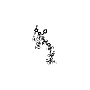 CC(C)(C)[C@@H](NCC[C@H](N)C(=O)N[C@H]1CC[C@@H](C(=O)NCCN2C(=O)CC(SC[C@H](N)C(=O)O)C2=O)C1)c1cc(-c2cc(F)ccc2F)cn1Cc1ccccc1.OCCO